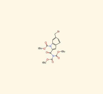 CC(C)(C)OC(=O)N(C(=O)OC(C)(C)C)C(=O)c1cc2ccc(CBr)cc2n1C(=O)OC(C)(C)C